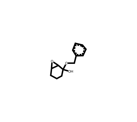 OC1(OCc2ccccc2)CCCC2OC21